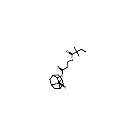 CCC(C)(C)C(=O)OCCC(=O)OC1C2CC3CC1CC(C2)C(=O)O3